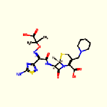 CC(C)(O/N=C(\C(=O)N[C@@H]1C(=O)N2C(C(=O)O)=C(CN3CCCCC3)CS[C@H]12)c1nsc(N)n1)C(=O)O